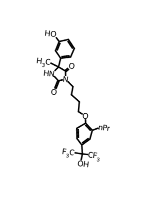 CCCc1cc(C(O)(C(F)(F)F)C(F)(F)F)ccc1OCCCCN1C(=O)NC(C)(c2cccc(O)c2)C1=O